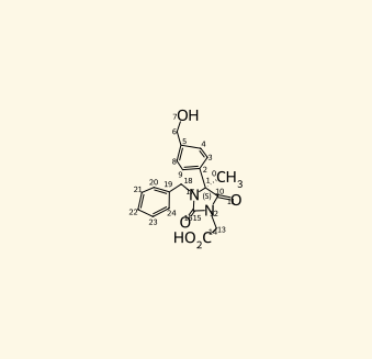 C[C@]1(c2ccc(CO)cc2)C(=O)N(CC(=O)O)C(=O)N1Cc1ccccc1